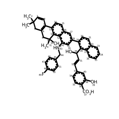 CC1(C)C=CC2=C(C1)CC(C)(C)c1c2ccc2cc(-c3ccc4ccccc4c3C(O)C=Cc3ccc(C(=O)O)c(O)c3)cc(NCc3ccc(F)cc3)c12